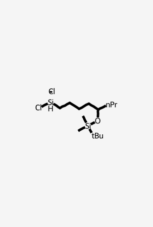 CCCC(CCCC[SiH](Cl)Cl)O[Si](C)(C)C(C)(C)C